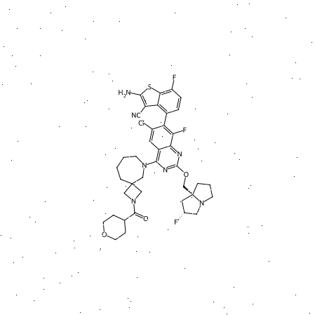 N#Cc1c(N)sc2c(F)ccc(-c3c(Cl)cc4c(N5CCCCC6(CN(C(=O)C7CCOCC7)C6)C5)nc(OC[C@@]56CCCN5C[C@H](F)C6)nc4c3F)c12